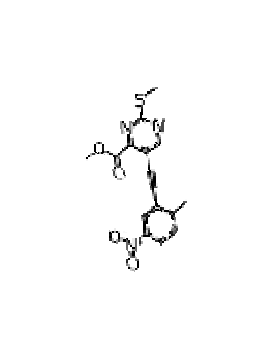 COC(=O)c1nc(SC)ncc1C#Cc1cc([N+](=O)[O-])ccc1C